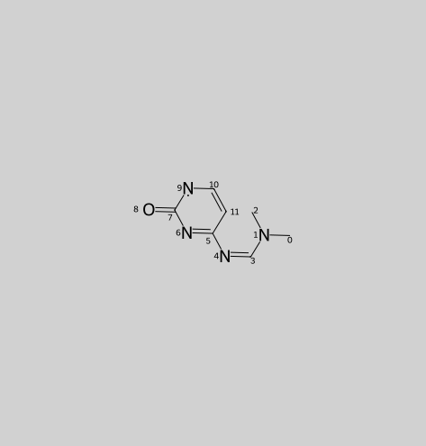 CN(C)/C=N\C1=NC(=O)[N]C=C1